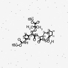 CC(C)(C)OC(=O)Nc1nc(/C(=N/OC(C)(C)C(=O)OC(C)(C)C)C(=O)N[C@@H]2C(=O)N(S(=O)(=O)O)[C@@H]2CN2CCCC2=O)cs1